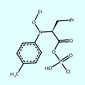 CCON(c1ccc(C)cc1)[C@@H](CC(C)C)C(=O)OP(=O)(O)Cl